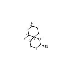 CCC1CCOC2(CCNCC2C)O1